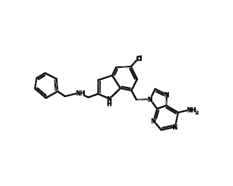 Nc1ncnc2c1ncn2Cc1cc(Cl)cc2cc(CNCc3ccccc3)[nH]c12